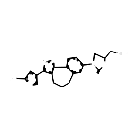 CC(=O)NCC1CN(c2ccc3c(c2)CCCc2c(-c4coc(C(F)(F)F)c4)noc2-3)C(=O)O1